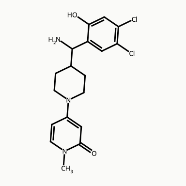 Cn1ccc(N2CCC(C(N)c3cc(Cl)c(Cl)cc3O)CC2)cc1=O